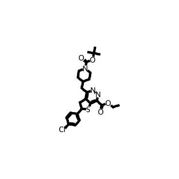 CCOC(=O)c1nnc(CC2CCN(C(=O)OC(C)(C)C)CC2)c2c1SC(c1ccc(Cl)cc1)C2